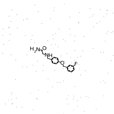 NC(=O)CNCc1ccc(OCc2cccc(F)c2)cc1